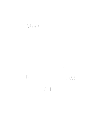 COc1ccc(OC)c2c1CCN=C2C